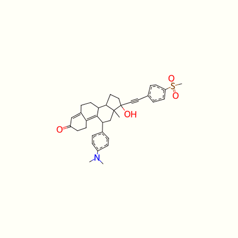 CN(C)c1ccc(C2CC3(C)C(CCC3(O)C#Cc3ccc(S(C)(=O)=O)cc3)C3CCC4=CC(=O)CCC4=C23)cc1